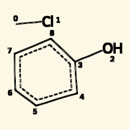 CCl.Oc1ccccc1